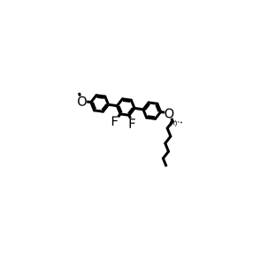 CCCCCC[C@@H](C)Oc1ccc(-c2ccc(-c3ccc(OC)cc3)c(F)c2F)cc1